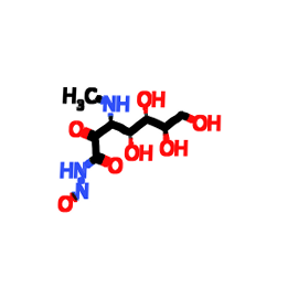 CN[C@@H](C(=O)C(=O)NN=O)[C@@H](O)[C@H](O)[C@H](O)CO